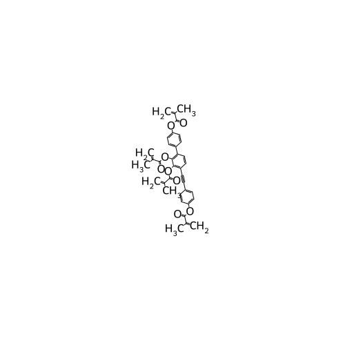 C=C(C)C(=O)Oc1ccc(C#Cc2ccc(-c3ccc(OC(=O)C(=C)C)cc3)c(OC(=O)C(=C)C)c2OC(=O)C(=C)C)cc1